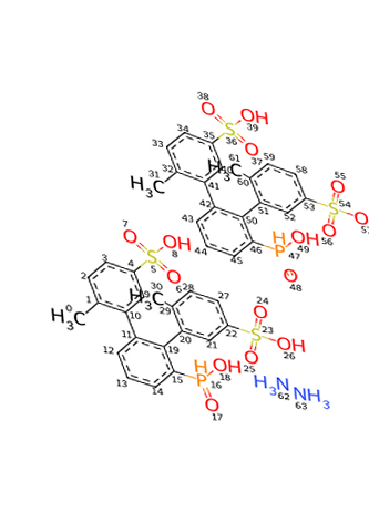 Cc1ccc(S(=O)(=O)O)cc1-c1cccc([PH](=O)O)c1-c1cc(S(=O)(=O)O)ccc1C.Cc1ccc(S(=O)(=O)O)cc1-c1cccc([PH](=O)O)c1-c1cc(S(=O)(=O)O)ccc1C.N.N